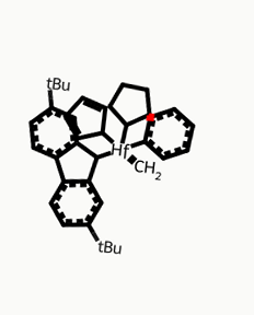 [CH2]=[Hf]([c]1ccccc1)([CH]1C=CC=C1)([CH]1CCCC1)[CH]1c2cc(C(C)(C)C)ccc2-c2ccc(C(C)(C)C)cc21